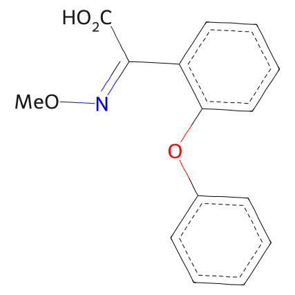 CON=C(C(=O)O)c1ccccc1Oc1ccccc1